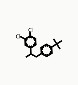 CC(Cc1ccc(C(C)(C)C)cc1)c1ccc(Cl)c(Cl)c1